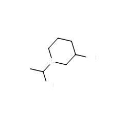 CC(S)N1CCCC(O)C1